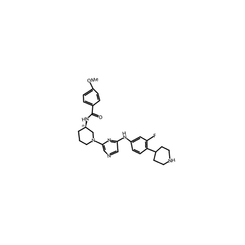 COc1ccc(C(=O)N[C@@H]2CCCN(c3cncc(Nc4ccc(C5CCNCC5)c(F)c4)n3)C2)cc1